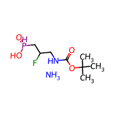 CC(C)(C)OC(=O)NCC(F)C[PH](=O)O.N